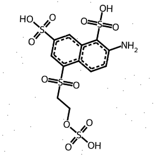 Nc1ccc2c(S(=O)(=O)CCOS(=O)(=O)O)cc(S(=O)(=O)O)cc2c1S(=O)(=O)O